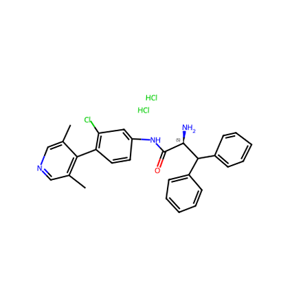 Cc1cncc(C)c1-c1ccc(NC(=O)[C@@H](N)C(c2ccccc2)c2ccccc2)cc1Cl.Cl.Cl